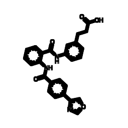 O=C(O)CCc1cccc(NC(=O)c2ccccc2NC(=O)c2ccc(-c3cocn3)cc2)c1